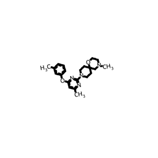 Cc1cccc(Oc2cc(C)nc(N3CCC4(CC3)CN(C)CCO4)n2)c1